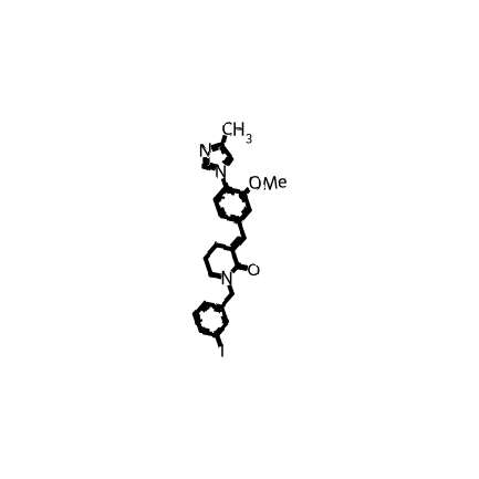 COc1cc(/C=C2\CCCN(Cc3cccc(I)c3)C2=O)ccc1-n1cnc(C)c1